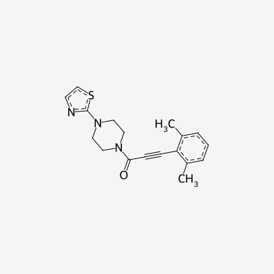 Cc1cccc(C)c1C#CC(=O)N1CCN(c2nccs2)CC1